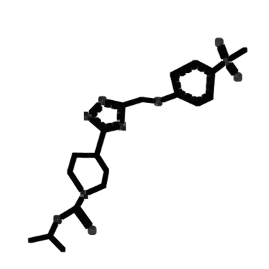 CC(C)OC(=O)N1CCC(c2noc(COc3ccc(S(C)(=O)=O)cc3)n2)CC1